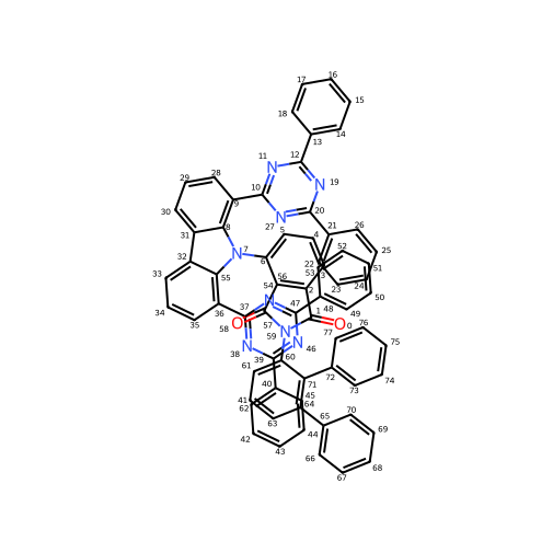 O=C1c2cccc(-n3c4c(-c5nc(-c6ccccc6)nc(-c6ccccc6)n5)cccc4c4cccc(-c5nc(-c6ccccc6)nc(-c6ccccc6)n5)c43)c2C(=O)N1c1cccc(-c2ccccc2)c1-c1ccccc1